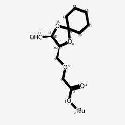 CC(C)(C)OC(=O)COC[C@@H]1OC2(CCCCC2)O[C@@H]1C=O